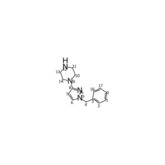 c1ccc(Cn2ccc(N3CCNCC3)n2)cc1